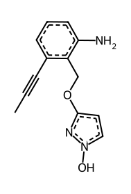 CC#Cc1cccc(N)c1COc1ccn(O)n1